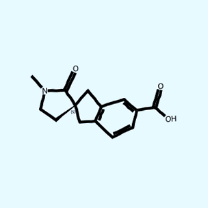 CN1CC[C@@]2(Cc3ccc(C(=O)O)cc3C2)C1=O